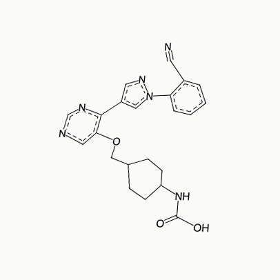 N#Cc1ccccc1-n1cc(-c2ncncc2OCC2CCC(NC(=O)O)CC2)cn1